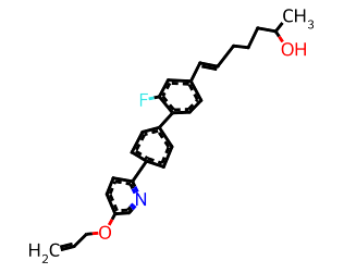 C=CCOc1ccc(-c2ccc(-c3ccc(C=CCCCC(C)O)cc3F)cc2)nc1